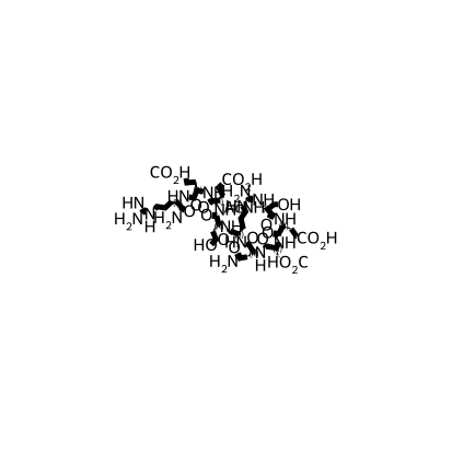 CC(=O)N[C@H](CO)C(=O)N[C@H](CCC(=O)O)C(=O)N[C@H](CC(=O)O)C(=O)N[C@H](CC(N)=O)C(=O)N[C@H](CCCNC(=N)N)C(=O)N[C@H](CCO)C(=O)N[C@H](CCC(=O)O)C(=O)N[C@H](CCC(=O)O)C(=O)N[C@H](CCCNC(=N)N)C(N)=O